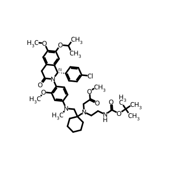 COC(=O)CN(CCNC(=O)OC(C)(C)C)C1(CN(C)c2ccc(N3C(=O)Cc4cc(OC)c(OC(C)C)cc4[C@@H]3c3ccc(Cl)cc3)c(OC)c2)CCCCC1